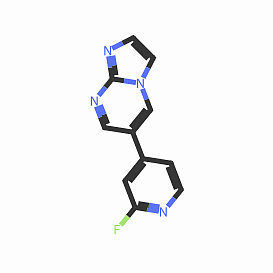 Fc1cc(-c2cnc3nccn3c2)ccn1